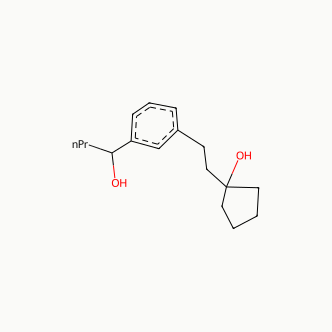 CCCC(O)c1cccc(CCC2(O)CCCC2)c1